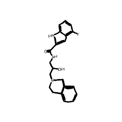 O=C(NCC(O)CN1CCc2ccccc2C1)c1cc2c(F)cccc2[nH]1